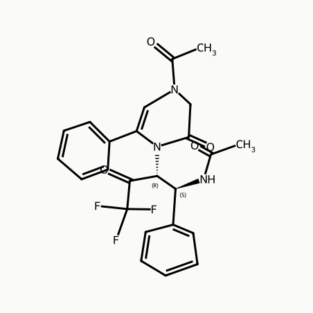 CC(=O)N[C@@H](c1ccccc1)[C@H](C(=O)C(F)(F)F)N1C(=O)CN(C(C)=O)C=C1c1ccccc1